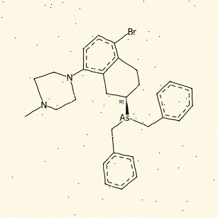 CN1CCN(c2ccc(Br)c3c2C[C@H]([As](Cc2ccccc2)Cc2ccccc2)CC3)CC1